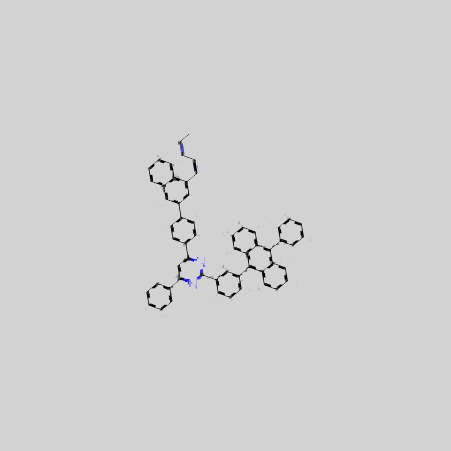 C/C=C\C=C/c1cc(-c2ccc(-c3cc(-c4ccccc4)nc(-c4cccc(-c5c6ccccc6c(-c6ccccc6)c6ccccc56)c4)n3)cc2)cc2ccccc12